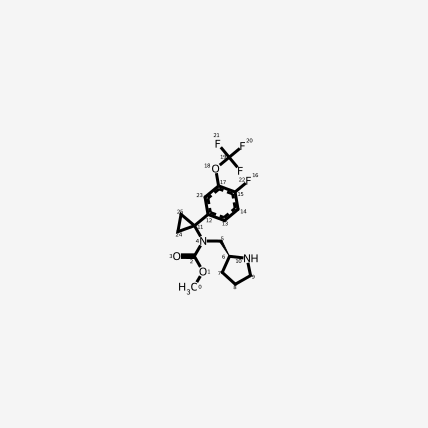 COC(=O)N(C[C@@H]1CCCN1)C1(c2ccc(F)c(OC(F)(F)F)c2)CC1